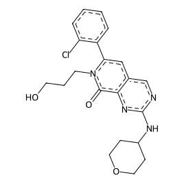 O=c1c2nc(NC3CCOCC3)ncc2cc(-c2ccccc2Cl)n1CCCO